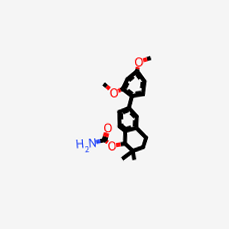 COc1ccc(-c2ccc3c(c2)CCC(C)(C)C3OC(N)=O)c(OC)c1